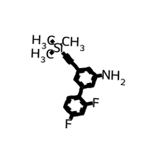 C[Si](C)(C)C#Cc1cc(N)cc(-c2ccc(F)cc2F)c1